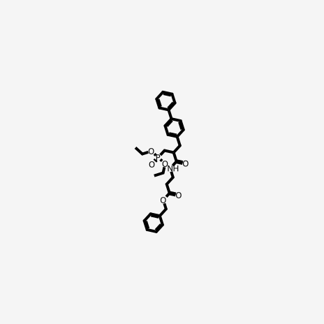 CCOP(=O)(CC(Cc1ccc(-c2ccccc2)cc1)C(=O)NCCC(=O)OCc1ccccc1)OCC